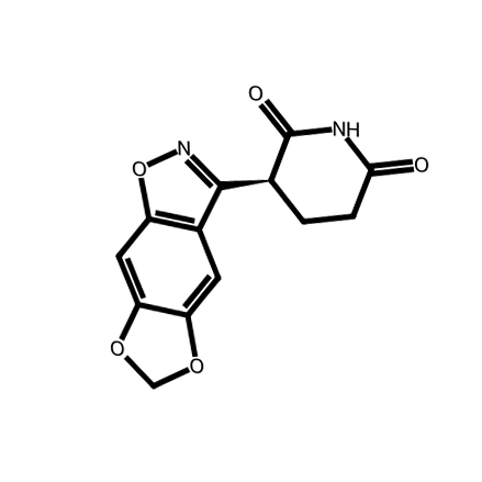 O=C1CC[C@@H](c2noc3cc4c(cc23)OCO4)C(=O)N1